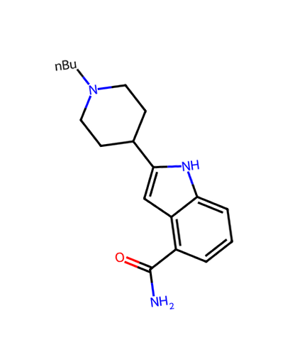 CCCCN1CCC(c2cc3c(C(N)=O)cccc3[nH]2)CC1